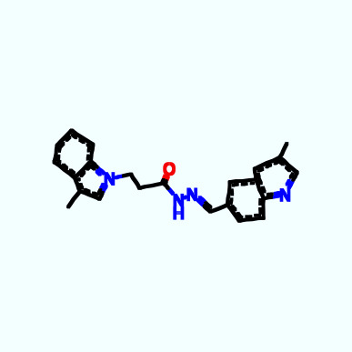 Cc1cnc2ccc(C=NNC(=O)CCn3cc(C)c4ccccc43)cc2c1